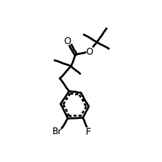 CC(C)(C)OC(=O)C(C)(C)Cc1ccc(F)c(Br)c1